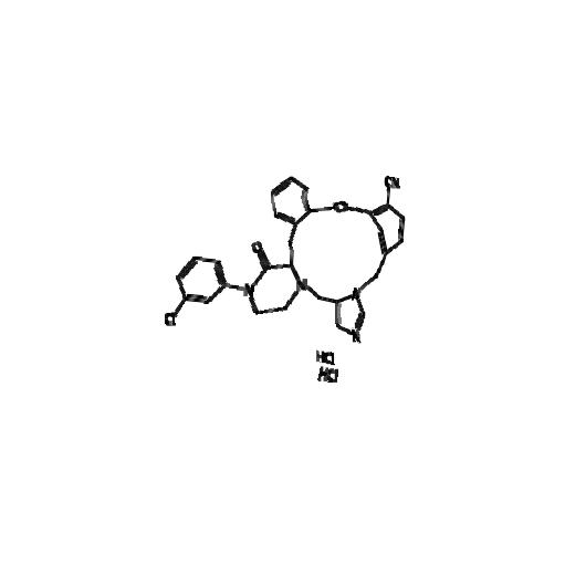 Cl.Cl.N#Cc1ccc2cc1Oc1ccccc1CC1C(=O)N(c3cccc(Cl)c3)CCN1Cc1cncn1C2